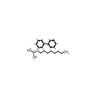 CCCCCCCCOP(O)O.c1ccc(-c2ccccc2)cc1